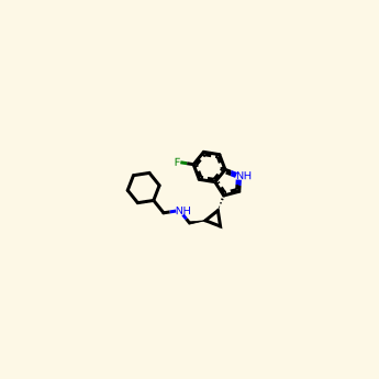 Fc1ccc2[nH]cc([C@@H]3C[C@H]3CNCC3CCCCC3)c2c1